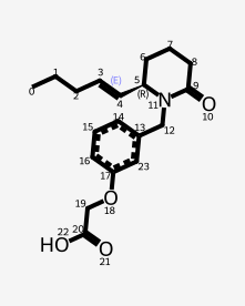 CCC/C=C/[C@H]1CCCC(=O)N1Cc1cccc(OCC(=O)O)c1